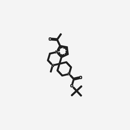 CC(=O)c1ccc2n1CCN(C)C21CCN(C(=O)OC(C)(C)C)CC1